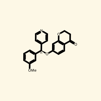 COc1cccc([C@H](Oc2ccc3c(c2)OCCC3=O)c2ccncc2)c1